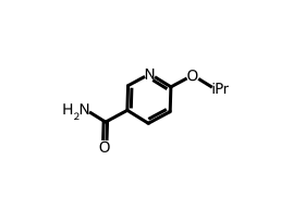 CC(C)Oc1ccc(C(N)=O)cn1